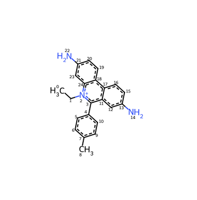 CC[n+]1c(-c2ccc(C)cc2)c2cc(N)ccc2c2ccc(N)cc21